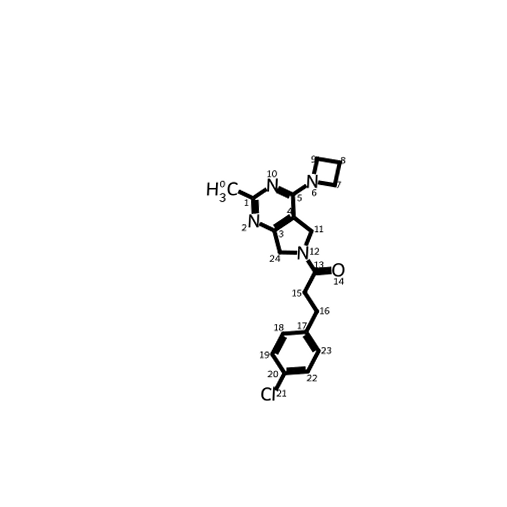 Cc1nc2c(c(N3CCC3)n1)CN(C(=O)CCc1ccc(Cl)cc1)C2